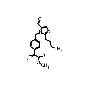 C=C(C(=O)OC)c1ccc(Cn2c(C=O)cnc2CCCC)cc1